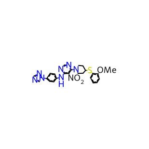 COc1ccccc1SC1CCN(c2ncnc(Nc3ccc(-n4cncn4)cc3)c2[N+](=O)[O-])CC1